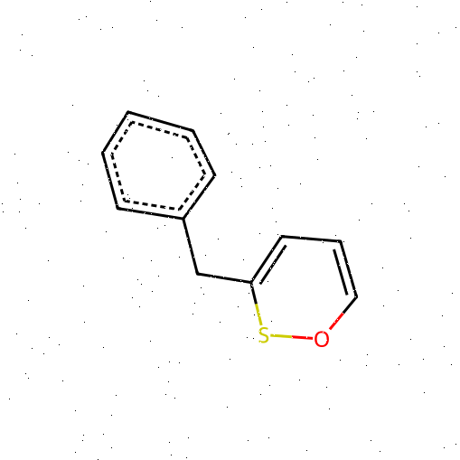 C1=COSC(Cc2ccccc2)=C1